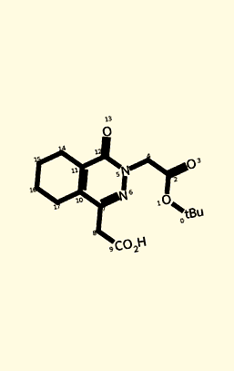 CC(C)(C)OC(=O)Cn1nc(CC(=O)O)c2c(c1=O)CCCC2